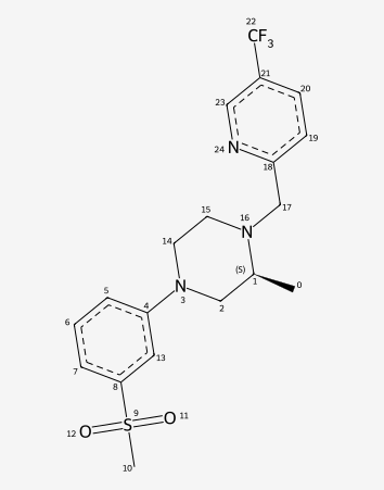 C[C@H]1CN(c2cccc(S(C)(=O)=O)c2)CCN1Cc1ccc(C(F)(F)F)cn1